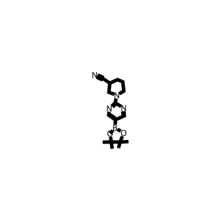 CC1(C)OB(c2cnc(N3CCCC(C#N)C3)nc2)OC1(C)C